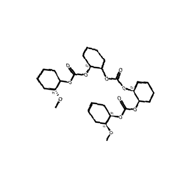 CO[C@H]1CCCC[C@H]1OC(=O)OC1CCCC[C@@H]1OC(=O)OC1CCCC[C@@H]1OC(=O)OC1CCCC[C@H]1OC